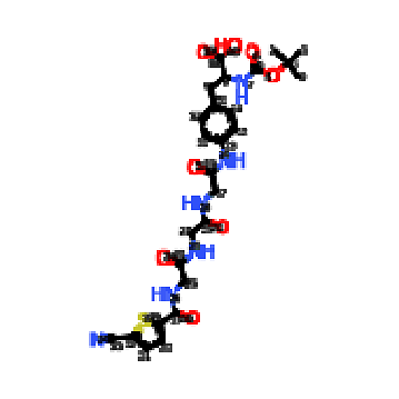 CC(C)(C)OC(=O)NC(Cc1ccc(NC(=O)CNC(=O)CNC(=O)CNC(=O)c2ccc(C#N)s2)cc1)C(=O)O